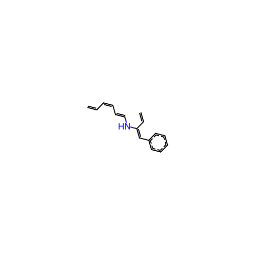 C=C/C=C\C=C\N/C(C=C)=C/c1ccccc1